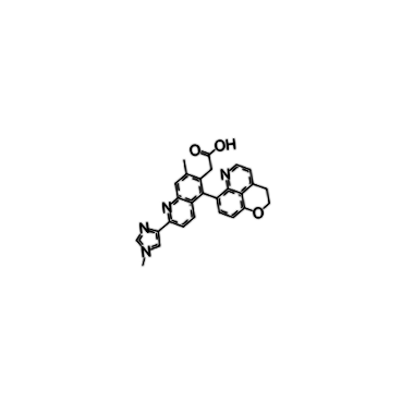 Cc1cc2nc(-c3cn(C)cn3)ccc2c(-c2ccc3c4c(ccnc24)CCO3)c1CC(=O)O